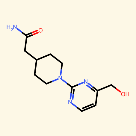 NC(=O)CC1CCN(c2nccc(CO)n2)CC1